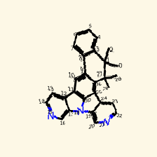 CC1(C)c2ccccc2-c2cc3c4ccncc4n4c5cnccc5c(c2C1(C)C)c34